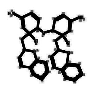 NC1=CC(Cl)(CC2C=Cc3ccccc3O2)C(OC2C=CC(N)=CC2(Cl)CC2C=Cc3ccccc3O2)C=C1